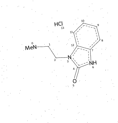 CNCCn1c(=O)[nH]c2ccccc21.Cl